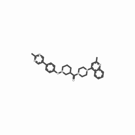 Cc1cc(N2CCN(C(=O)C3CCCN(Sc4ccc(-c5cnc(C)nc5)cc4)C3)CC2)c2ccccc2n1